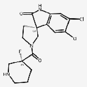 O=C(N1CC[C@]2(C1)C(=O)Nc1cc(Cl)c(Cl)cc12)[C@@]1(F)CCCNC1